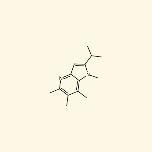 Cc1nc2cc(C(C)C)n(C)c2c(C)c1C